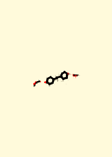 CC(C)(c1ccc(OCC2CO2)cc1)c1ccc(OC2CO2)cc1